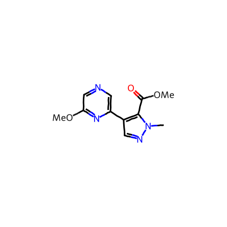 COC(=O)c1c(-c2cncc(OC)n2)cnn1C